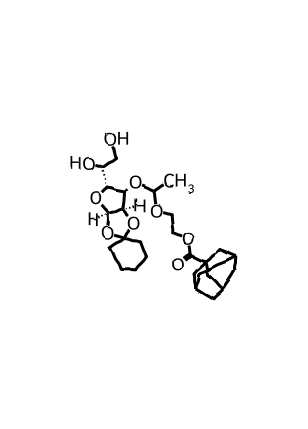 CC(OCCOC(=O)C12CC3CC(CC(C3)C1)C2)O[C@@H]1[C@H]2OC3(CCCCC3)O[C@H]2O[C@@H]1C(O)CO